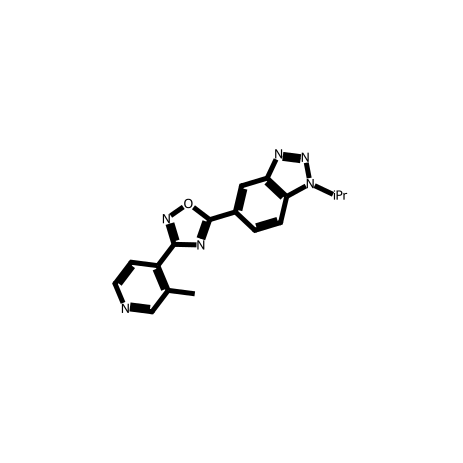 Cc1cnccc1-c1noc(-c2ccc3c(c2)nnn3C(C)C)n1